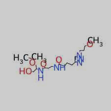 COCCCn1cc(CCCC(=O)NCCC(=O)NC(CO)COC(C)C)nn1